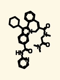 CN(C)C(=O)CN(C)C(=O)C1=Cc2ccccc2-c2c(C3CCCCC3)c3ccc(C(=O)Nc4ccccn4)cc3n2C1